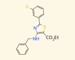 CCOC(=O)c1sc(-c2cccc(F)c2)nc1NCc1ccccc1